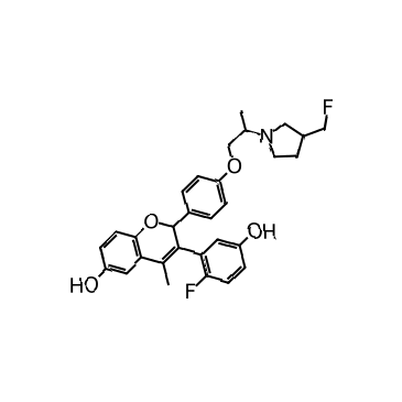 CC1=C(c2cc(O)ccc2F)C(c2ccc(OCC(C)N3CCC(CF)C3)cc2)Oc2ccc(O)cc21